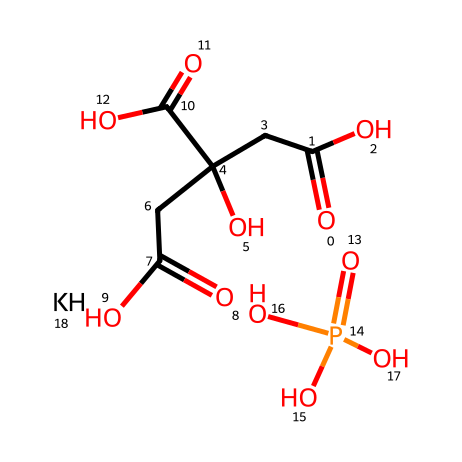 O=C(O)CC(O)(CC(=O)O)C(=O)O.O=P(O)(O)O.[KH]